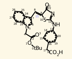 CC(C)(C)OC(=O)Cn1cc(/C=C2\SC(Nc3ccc(CC(=O)O)cc3)=NC2=O)c2ccccc21